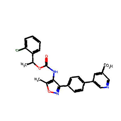 Cc1onc(-c2ccc(-c3cncc(C(=O)O)c3)cc2)c1NC(=O)OC(C)c1ccccc1Cl